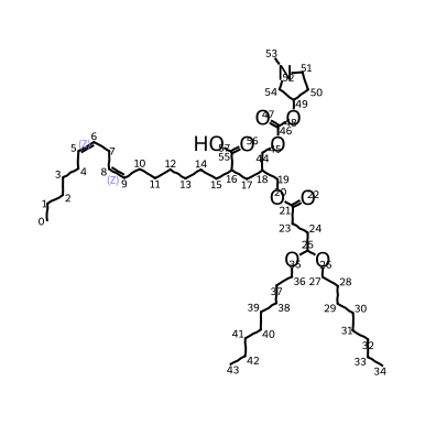 CCCCC/C=C\C/C=C\CCCCCCC(CC(COC(=O)CCC(OCCCCCCCC)OCCCCCCCC)COC(=O)OC1CCN(C)C1)C(=O)O